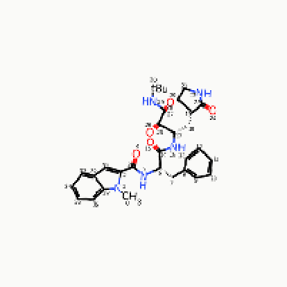 Cn1c(C(=O)N[C@@H](Cc2ccccc2)C(=O)N[C@@H](C[C@@H]2CCNC2=O)C(=O)C(=O)NC(C)(C)C)cc2ccccc21